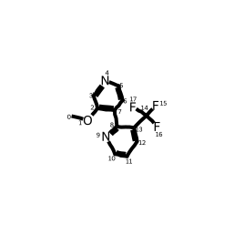 COc1[c]nccc1-c1ncccc1C(F)(F)F